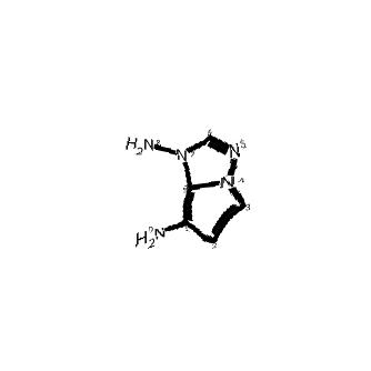 Nc1ccn2ncn(N)c12